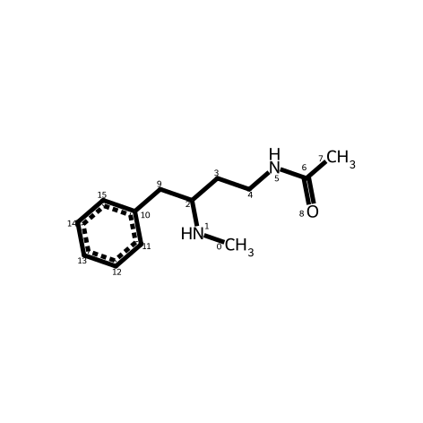 CNC(CCNC(C)=O)Cc1ccccc1